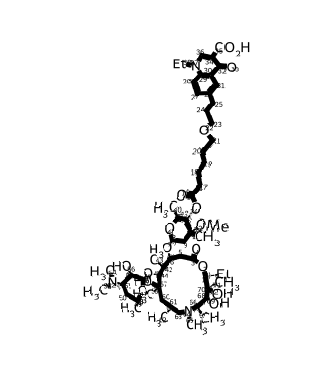 CC[C@H]1OC(=O)C[C@@H](O[C@H]2C[C@@](C)(OC)[C@@H](OC(=O)CCCCCOCCCc3ccc4c(c3)c(=O)c(C(=O)O)cn4CC)[C@H](C)O2)[C@H](C)[C@@H](O[C@@H]2O[C@H](C)C[C@H](N(C)C)[C@H]2O)[C@](C)(O)C[C@@H](C)CN(C)[C@H](C)[C@@H](O)[C@]1(C)O